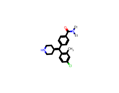 CCN(CC)C(=O)c1ccc(C(=C2CCNCC2)c2ccc(Cl)cc2C)cc1